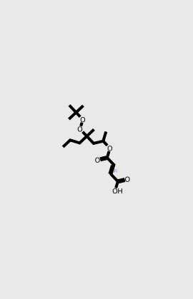 CCCC(C)(CC(C)OC(=O)/C=C/C(=O)O)OOC(C)(C)C